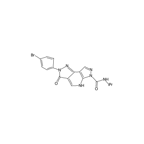 CC(C)NC(=O)n1ncc2c3nn(-c4ccc(Br)cc4)c(=O)c-3c[nH]c21